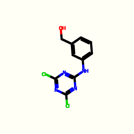 OCc1cccc(Nc2nc(Cl)nc(Cl)n2)c1